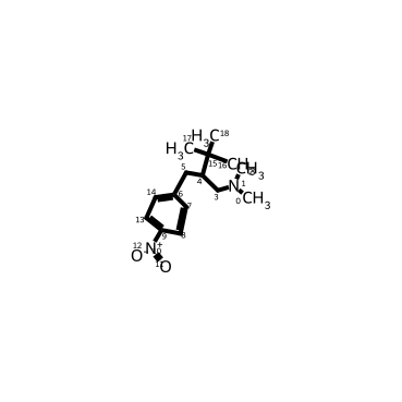 CN(C)CC(Cc1ccc([N+](=O)[O-])cc1)C(C)(C)C